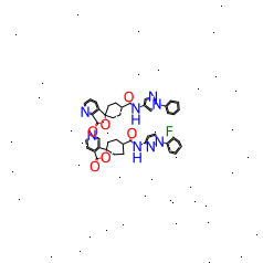 O=C1OC2(CCC(C(=O)Nc3ccn(-c4ccccc4F)n3)CC2)c2cnccc21.O=C1OC2(CCC(C(=O)Nc3cnn(-c4ccccc4)c3)CC2)c2cccnc21